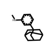 CNc1cccc(C23CC4CC(CC(C4)C2)C3)c1